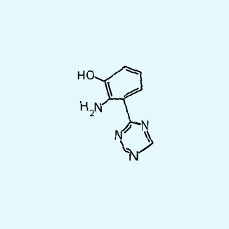 Nc1c(O)cccc1-c1ncncn1